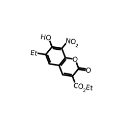 CCOC(=O)c1cc2cc(CC)c(O)c([N+](=O)[O-])c2oc1=O